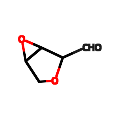 O=CC1OCC2OC12